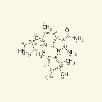 Cc1cc2c(C(N)=O)c(N)n(-c3c(C)cc(Cl)c(O)c3C)c2nc1O[C@H]1CCNC1